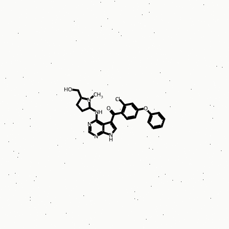 CN1C(CO)CCC1Nc1ncnc2[nH]cc(C(=O)c3ccc(Oc4ccccc4)cc3Cl)c12